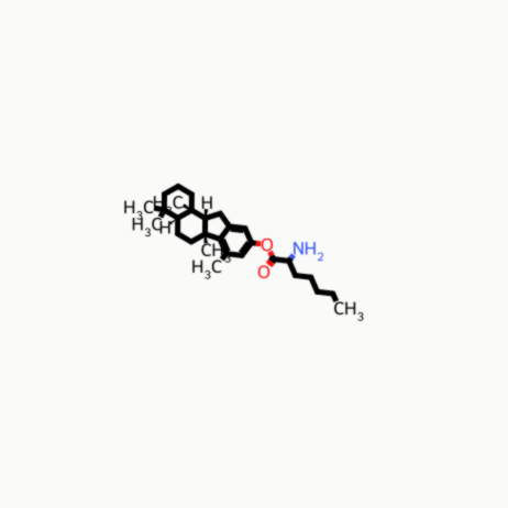 CCCCCC(N)C(=O)Oc1cc(C)c2c(c1)C[C@H]1[C@@]3(C)CCCC(C)(C)[C@@H]3CC[C@@]21C